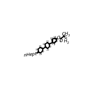 C=C(C)C(=O)Oc1ccc(C2CCC(C3CCC(CCCCCCC)CC3)CC2)cc1